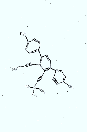 CC#Cc1c(-c2ccc(C)cc2)ccc(-c2ccc(C)cc2)c1C#C[Si](C)(C)C